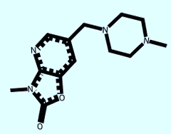 CN1CCN(Cc2cnc3c(c2)oc(=O)n3C)CC1